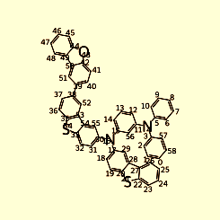 c1ccc(N(c2ccccc2)c2cccc(N(c3ccc4sc5ccccc5c4c3)c3ccc4sc5ccc(-c6ccc7oc8ccccc8c7c6)cc5c4c3)c2)cc1